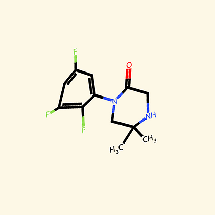 CC1(C)CN(c2cc(F)cc(F)c2F)C(=O)CN1